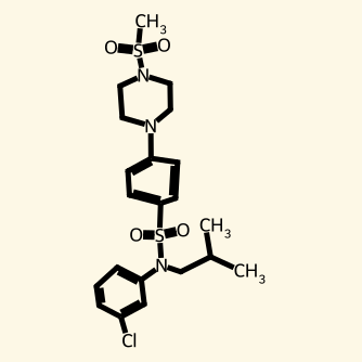 CC(C)CN(c1cccc(Cl)c1)S(=O)(=O)c1ccc(N2CCN(S(C)(=O)=O)CC2)cc1